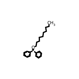 CCCCCCCCCCOP(c1ccccc1)c1ccccc1